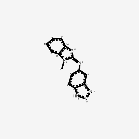 Cn1c(=Nc2ccc3[nH]nnc3c2)sc2ccccc21